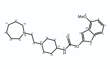 COc1cccc2sc(OC(=O)NC3CCN(CCN4CCCCCC4)CC3)cc12